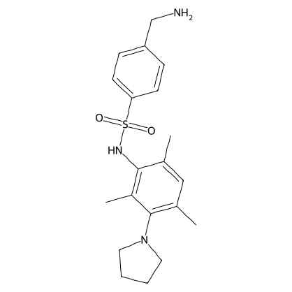 Cc1cc(C)c(N2CCCC2)c(C)c1NS(=O)(=O)c1ccc(CN)cc1